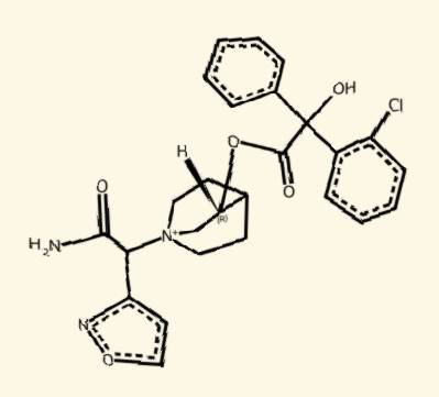 NC(=O)C(c1ccon1)[N+]12CCC(CC1)[C@@H](OC(=O)C(O)(c1ccccc1)c1ccccc1Cl)C2